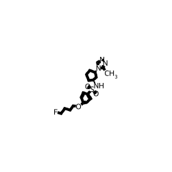 Cc1nncn1[C@@H]1CCC[C@H](NS(=O)(=O)c2ccc(OCCCCF)cc2)C1